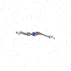 CCCCCCCCCCCCOc1ccc(-c2ncc(CC[C@H]3CC[C@H](CCCCCCC)CC3)cn2)cc1